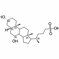 C[C@H](CCCS(=O)(=O)O)C1CCC2C3C(CC[C@@]21C)[C@@]1(C)CC[C@@H](O)C[C@H]1C[C@H]3O